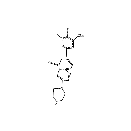 COc1cc(C2=C\C(=O)N3C=C(N4CCNCC4)C=C\C3=C/C=C/2)cc(F)c1F